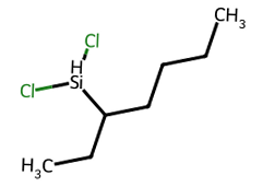 CCCCC(CC)[SiH](Cl)Cl